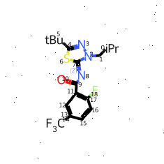 CC(C)Cn1nc(C(C)(C)C)s/c1=N\C(=O)c1cc(C(F)(F)F)ccc1F